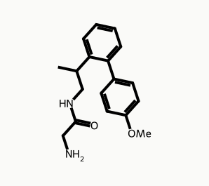 COc1ccc(-c2ccccc2C(C)CNC(=O)CN)cc1